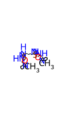 Cn1cc(CC(=O)NC2=NNC(CCCCc3nnc(NC(=O)Cc4cn(C)c5ccccc45)s3)S2)c2ccccc21